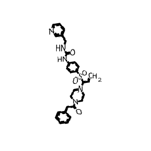 C=CC(N1CCN(C(=O)Cc2ccccc2)CC1)S(=O)(=O)c1ccc(NC(=O)NCc2cccnc2)cc1